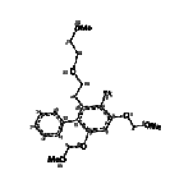 CCc1c(OCOC)cc(OCOC)c(-c2ccccc2)c1CCOCCOC